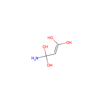 NC(O)(O)C=C(O)O